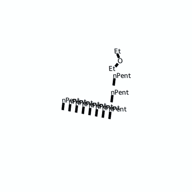 CCCCCC.CCCCCC.CCCCCC.CCCCCC.CCCCCC.CCCCCC.CCCCCC.CCCCCC.CCCCCC.CCCCCC.CCOCC